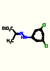 CCOC(=O)C(C)=NNc1cc(Cl)cc(Cl)c1